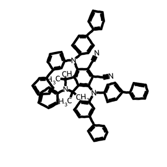 CC1(C)c2c(N(c3ccc(-c4ccccc4)cc3)c3cccc(-c4ccccc4)c3)c(C#N)c(C#N)c(N(c3ccc(-c4ccccc4)cc3)c3cccc(-c4ccccc4)c3)c2C(C)(C)N1c1ccccc1